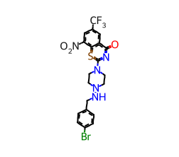 O=c1nc(N2CCN(NCc3ccc(Br)cc3)CC2)sc2c([N+](=O)[O-])cc(C(F)(F)F)cc12